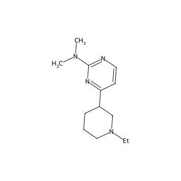 CCN1CCCC(c2ccnc(N(C)C)n2)C1